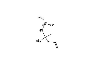 C=CCC(C)(CCCC)N[S@@+]([O-])C(C)(C)C